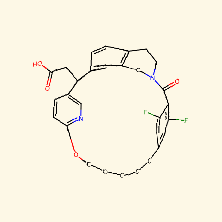 O=C(O)CC1c2ccc(nc2)OCCCCCc2cc(F)c(c(F)c2)C(=O)N2CCc3ccc1cc3C2